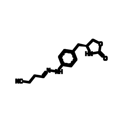 N#CCCC=NNc1ccc(C[C@H]2COC(=O)N2)cc1